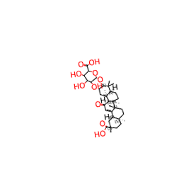 CC1(C)[C@@H](OC2OC(C(=O)O)C(O)C(O)C2O)CC[C@@]2(C)[C@@H]1CC[C@]1(C)[C@H]2C(=O)C=C2[C@@H]3C[C@@](C)(C(=O)O)CC[C@]3(C)CC[C@]21C